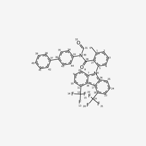 Cc1cccc(-n2c3cccc(C(F)(F)F)c3c3c(C(F)(F)F)cccc32)c1C(=O)N(C=O)c1ccc(-c2ccccc2)cc1